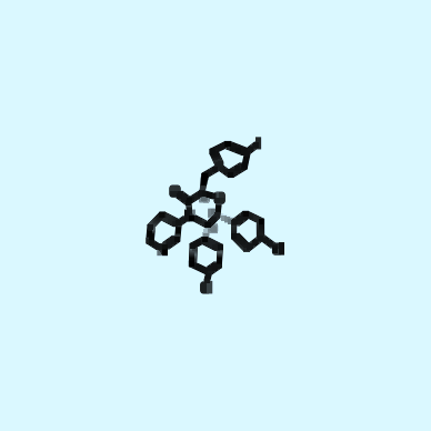 O=C1[C@@H](Cc2ccc(I)cc2)O[C@H](c2ccc(Cl)cc2)[C@H](c2ccc(Cl)cc2)N1c1cccnc1